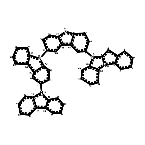 c1ccc2c(c1)cc1n(-c3ccc4sc5ccc(-n6c7ccccc7c7cc(-n8c9ccccc9c9ccccc98)ccc76)cc5c4c3)c3ccccc3n21